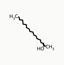 CCCCCCCCCCCCCCCC=C(C)O